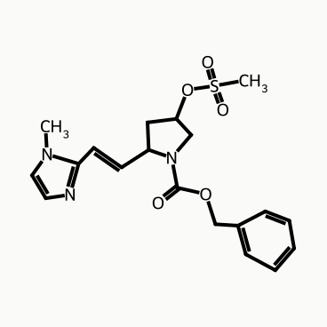 Cn1ccnc1C=CC1CC(OS(C)(=O)=O)CN1C(=O)OCc1ccccc1